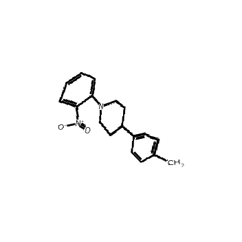 Cc1ccc(C2CCN(c3ccccc3[N+](=O)[O-])CC2)cc1